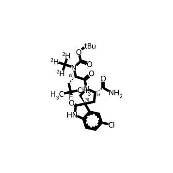 [2H]C([2H])([2H])N(C(=O)OC(C)(C)C)[C@@H](CC(C)(C)F)C(=O)N1C[C@]2(C[C@H]1C(N)=O)C(=O)Nc1ccc(Cl)cc12